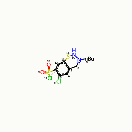 CCCCN1Cc2cc(Cl)c(S(=O)(=O)Cl)cc2SN1